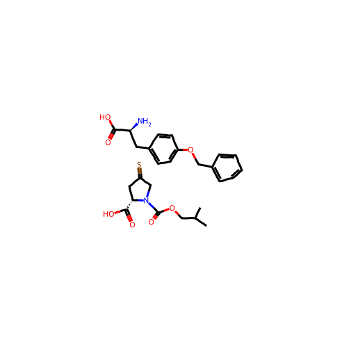 CC(C)COC(=O)N1CC(=S)C[C@H]1C(=O)O.N[C@@H](Cc1ccc(OCc2ccccc2)cc1)C(=O)O